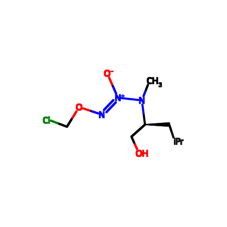 CC(C)C[C@@H](CO)N(C)/[N+]([O-])=N/OCCl